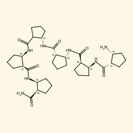 NC(=O)[C@@H]1CCC[C@@H]1NC(=O)[C@H]1CCC[C@H]1NC(=O)C1CCC[C@@H]1NC(=O)[C@H]1CCC[C@H]1NC(=O)[C@@H]1CCC[C@@H]1NC(=O)[C@H]1CCC[C@H]1N